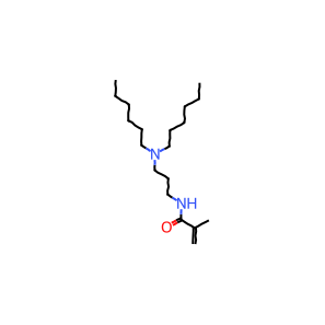 C=C(C)C(=O)NCCCN(CCCCCC)CCCCCC